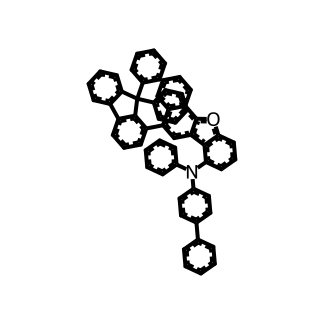 c1ccc(-c2ccc(N(c3ccccc3)c3cccc4oc5c6ccccc6c(-c6cccc7c6C(c6ccccc6)(c6ccccc6)c6ccccc6-7)cc5c34)cc2)cc1